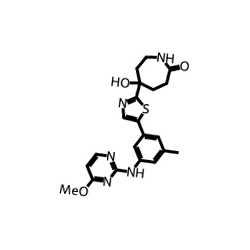 COc1ccnc(Nc2cc(C)cc(-c3cnc(C4(O)CCNC(=O)CC4)s3)c2)n1